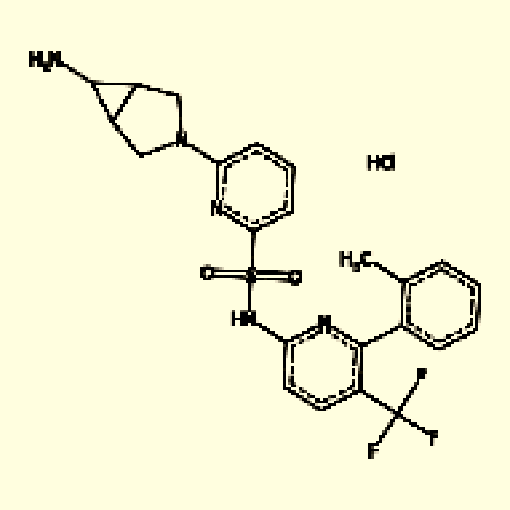 Cc1ccccc1-c1nc(NS(=O)(=O)c2cccc(N3CC4C(N)C4C3)n2)ccc1C(F)(F)F.Cl